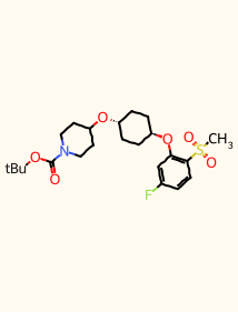 CC(C)(C)OC(=O)N1CCC(O[C@H]2CC[C@H](Oc3cc(F)ccc3S(C)(=O)=O)CC2)CC1